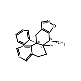 C[C@@H]1c2oncc2C[C@]2(c3ccccc3)c3ncncc3CC[C@@H]12